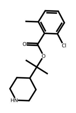 Cc1cccc(Cl)c1C(=O)OC(C)(C)C1CCNCC1